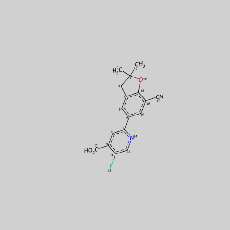 CC1(C)Cc2cc(-c3cc(C(=O)O)c(F)cn3)cc(C#N)c2O1